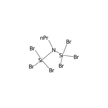 CCCN([Si](Br)(Br)Br)[Si](Br)(Br)Br